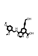 COc1ccc(CNc2ncnc3c(C(=O)O)cc(C#CCO)cc23)c(OC)c1